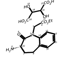 CCOC(=O)CN1C(=O)[C@@H](N)CCc2ccccc21.O=C(O)C(O)C(O)C(=O)O